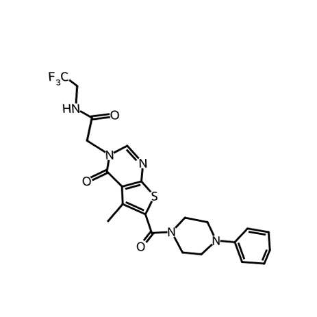 Cc1c(C(=O)N2CCN(c3ccccc3)CC2)sc2ncn(CC(=O)NCC(F)(F)F)c(=O)c12